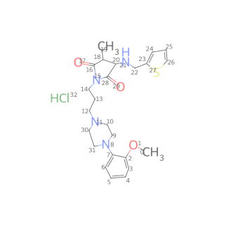 COc1ccccc1N1CCN(CCCN2C(=O)C(C)C(NCc3cccs3)C2=O)CC1.Cl